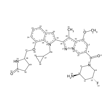 COc1cc(C(=O)N2C[C@H](N)C[C@@H](F)C2)cn2nc(-c3cc4cccc(OCC5CCC(=O)N5)c4n3CC3CC3)c(C)c12